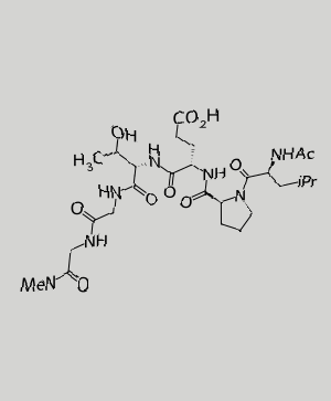 CNC(=O)CNC(=O)CNC(=O)[C@@H](NC(=O)[C@H](CCC(=O)O)NC(=O)[C@@H]1CCCN1C(=O)[C@H](CC(C)C)NC(C)=O)C(C)O